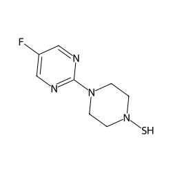 Fc1cnc(N2CCN(S)CC2)nc1